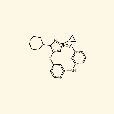 O=C(O)c1cccc(Nc2cc(Oc3cn(C4CC4)nc3C3CCOCC3)ccn2)c1